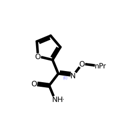 CCCO/N=C(/C([NH])=O)c1ccco1